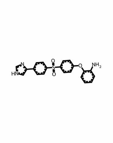 Nc1ccccc1Oc1ccc(S(=O)(=O)c2ccc(-c3c[nH]cn3)cc2)cc1